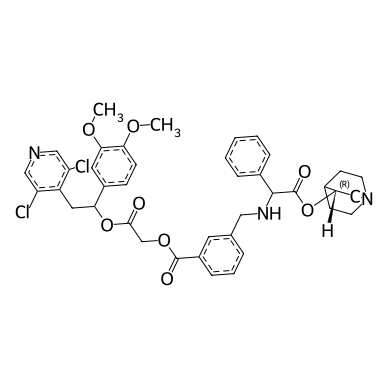 COc1ccc(C(Cc2c(Cl)cncc2Cl)OC(=O)COC(=O)c2cccc(CNC(C(=O)O[C@H]3CN4CCC3CC4)c3ccccc3)c2)cc1OC